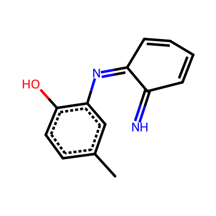 Cc1ccc(O)c(/N=C2/C=CC=CC2=N)c1